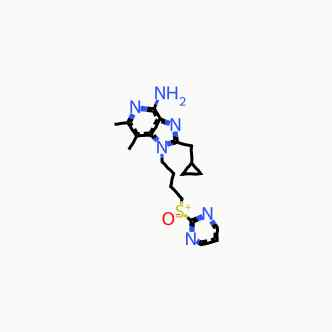 Cc1nc(N)c2nc(CC3CC3)n(CCCC[S+]([O-])c3ncccn3)c2c1C